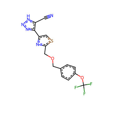 N#Cc1[nH]nnc1-c1csc(COCc2ccc(OC(F)(F)F)cc2)n1